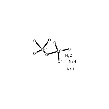 O.[NaH].[NaH].[O-][Cl+3]([O-])([O-])O[Cl+3]([O-])([O-])[O-]